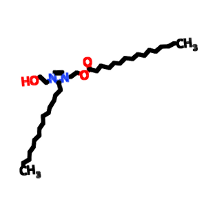 CCCCCCCCCCCCCCCC(=O)OCCN1C=CN(CCO)C1CCCCCCCCCCCCCCC